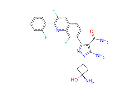 NC(=O)c1c(-c2ccc3cc(F)c(-c4ccccc4F)nc3c2F)nn([C@H]2C[C@@](N)(O)C2)c1N